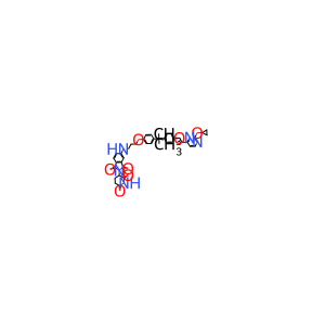 CC(C)(c1ccc(OCCCNc2ccc3c(c2)C(=O)N(C2CCC(=O)NC2=O)C3=O)cc1)c1ccc(OCc2ccnc(OC3CC3)n2)cc1